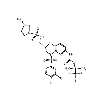 CC1CCN(S(=O)(=O)NC[C@H]2CN(S(=O)(=O)c3ccc(F)c(Cl)c3)c3cc(NC(=O)OC(C)(C)C(F)(F)F)ccc3O2)C1